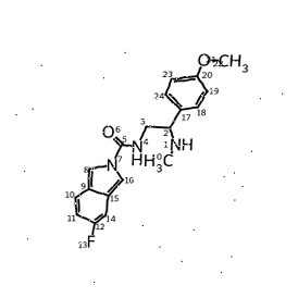 CNC(CNC(=O)n1cc2ccc(F)cc2c1)c1ccc(OC)cc1